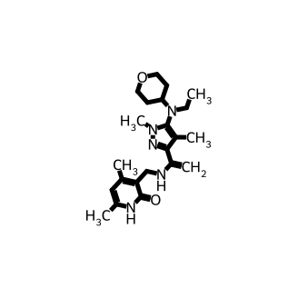 C=C(NCc1c(C)cc(C)[nH]c1=O)c1nn(C)c(N(CC)C2CCOCC2)c1C